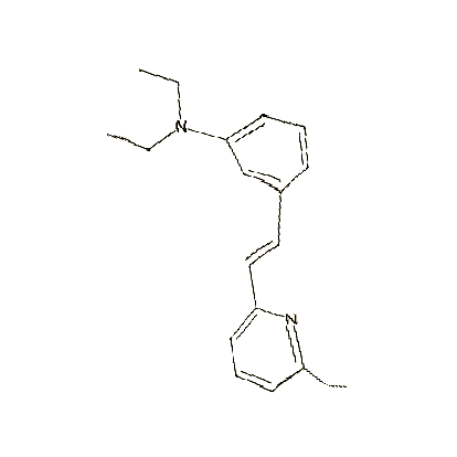 CCN(CC)c1cccc(C=Cc2cccc(C)n2)c1